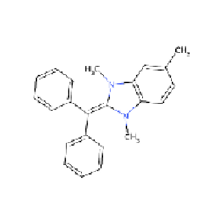 Cc1ccc2c(c1)N(C)C(=C(c1ccccc1)c1ccccc1)N2C